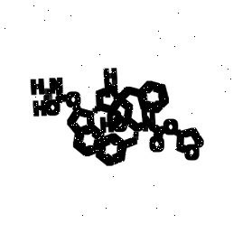 N[C@@H](O)OC1Cc2ccccc2[C@H]1C1CNC(Cc2ccccc2)(C[C@H](O)[C@@H](Cc2ccccc2)NC(=O)O[C@H]2CCOC2)C1=O